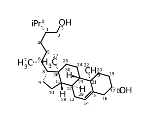 CC(C)[C@H](CO)CC[C@@H](C)[C@H]1CC[C@H]2[C@@H]3CC=C4C[C@@H](O)CC[C@]4(C)[C@H]3CC[C@]12C